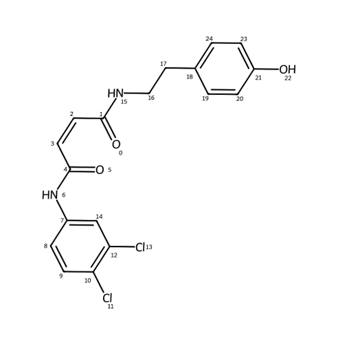 O=C(/C=C\C(=O)Nc1ccc(Cl)c(Cl)c1)NCCc1ccc(O)cc1